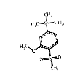 COc1c[c]([Sn]([CH3])([CH3])[CH3])ccc1S(C)(=O)=O